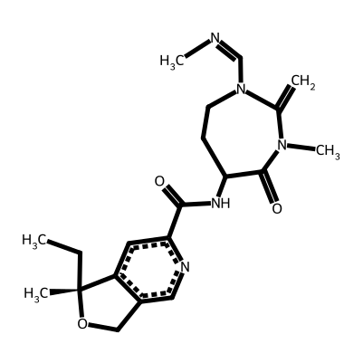 C=C1N(/C=N\C)CCC(NC(=O)c2cc3c(cn2)CO[C@]3(C)CC)C(=O)N1C